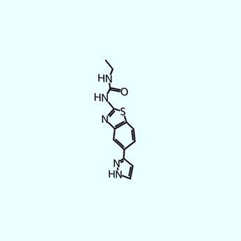 CCNC(=O)Nc1nc2cc(-c3cc[nH]n3)ccc2s1